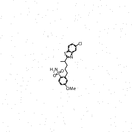 COc1ccc(S(N)(=O)=O)c(CCCC(C)c2nc3cc(Cl)ccc3s2)c1